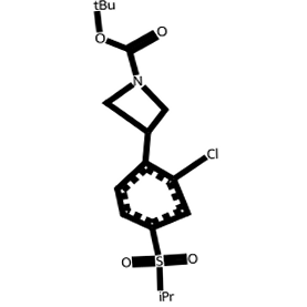 CC(C)S(=O)(=O)c1ccc(C2CN(C(=O)OC(C)(C)C)C2)c(Cl)c1